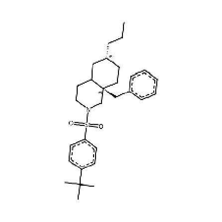 CCC[C@@H]1CC[C@]2(Cc3ccccc3)CN(S(=O)(=O)c3ccc(C(C)(C)C)cc3)CCC2C1